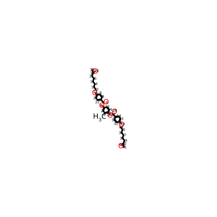 Cc1cc(OC(=O)c2ccc(OCCCCCCC3CO3)cc2)ccc1OC(=O)c1ccc(OCCCCCCC2CO2)cc1